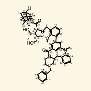 COc1c(CN2O[C@@H](CO)[C@@H]([C@H](C)O)[C@H]2C(=O)N[C@H]2C[C@H]3C[C@@H]([C@@H]2C)C3(C)C)cccc1-c1cc(C(=O)N2CCN(Cc3ccccc3)CC2Cc2ccccc2)cc(N(C)C)c1